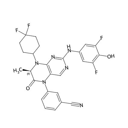 C[C@@H]1C(=O)N(c2cccc(C#N)c2)c2cnc(Nc3cc(F)c(O)c(F)c3)nc2N1C1CCC(F)(F)CC1